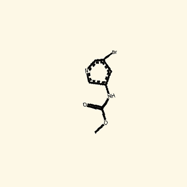 COC(=O)Nc1cncc(Br)c1